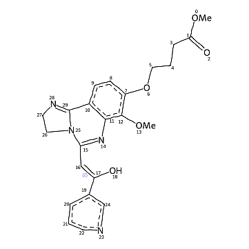 COC(=O)CCCOc1ccc2c(c1OC)N=C(/C=C(\O)c1cccnc1)N1CCN=C21